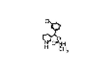 CNC(=O)OC(c1cccc(Cl)c1)C1CCCNC1